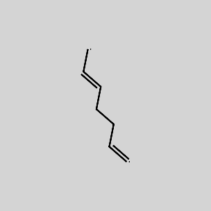 [CH]=CCCC=C[CH2]